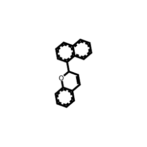 C1=CC(c2cccc3ccccc23)Oc2ccccc21